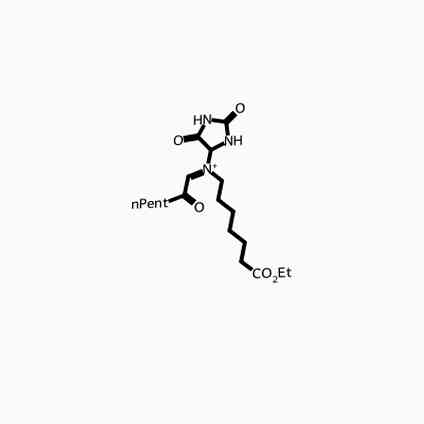 CCCCCC(=O)C=[N+](CCCCCCC(=O)OCC)C1NC(=O)NC1=O